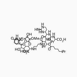 CO[C@H]1[C@H](OC(C(NCCCNC(=O)C(NC(=O)C(NC(=O)NC(C(=O)O)C(C)C)C2CCNC(=N)N2)C(OC(=O)CCCCC(C)C)C(C)C)C(=O)O)C2O[C@@H](n3ccc(=O)[nH]c3=O)C(O)C2O)O[C@H](CN)[C@H]1O